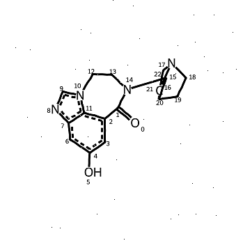 O=C1c2cc(O)cc3ncn(c23)CCN1C1CN2CCC1CC2